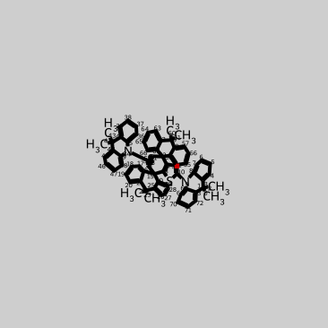 CC1(C)c2ccccc2N(c2cc3c(s2)C2(c4ccccc4C(C)(C)c4ccccc42)c2cc(N4c5ccccc5C(C)(C)c5ccccc54)sc2C32c3ccccc3C(C)(C)c3ccccc32)c2ccccc21